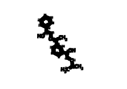 CC(C)OCC(O)c1cccc(C(C)OC[C@H](O)c2ccccc2)c1